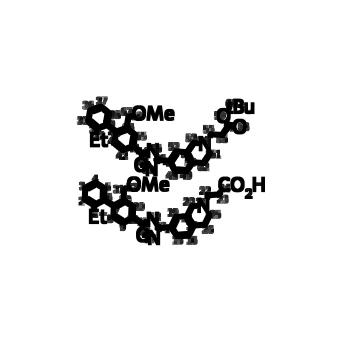 CCc1ccccc1-c1ccc(-c2nc(-c3ccc4c(c3)CN(CCC(=O)O)CC4)no2)cc1COC.CCc1ccccc1-c1ccc(-c2nc(-c3ccc4c(c3)CN(CCC(=O)OC(C)(C)C)CC4)no2)cc1COC